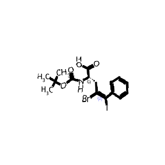 CC(C)(C)OC(=O)N[C@@H](C/C(Br)=C(/I)c1ccccc1)C(=O)O